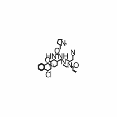 C=CC(=O)N1CCN(C2NC(OCC3CCCN3C)NC3C(=O)[C@@]4(CCC32)Cc2ccccc2C(Cl)C4)CC1CC#N